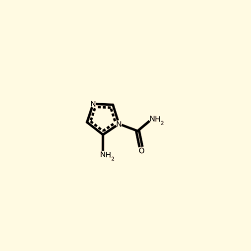 NC(=O)n1cncc1N